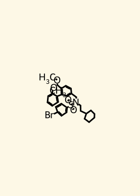 COC(=O)c1ccc(CN(CCC2CCCCC2)S(=O)(=O)c2ccc(Br)cc2)cc1-c1ccccc1C